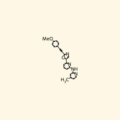 COc1ccc(C#Cc2ncc(-c3cccc(Nc4cc(C)ccn4)n3)o2)cc1